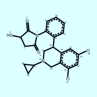 O=C1CC(O)C(=O)N1c1ccccc1C1CN(C2CC2)Cc2c(Cl)cc(Cl)cc21